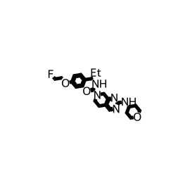 CC[C@@H](NC(=O)N1CCc2cnc(NC3CCOCC3)nc2C1)c1ccc(OCCF)cc1